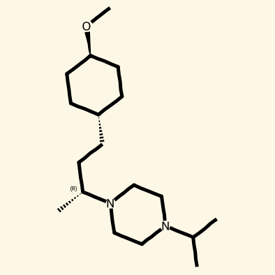 CO[C@H]1CC[C@H](CC[C@@H](C)N2CCN(C(C)C)CC2)CC1